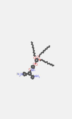 CCCCCCCCCCCCOc1cc(C(=O)Oc2ccc(NC(=O)c3cc(-c4ccc(N)cc4)cc(-c4cccc(N)c4)c3)cc2)cc(OCCCCCCCCCCCC)c1OCCCCCCCCCCCC